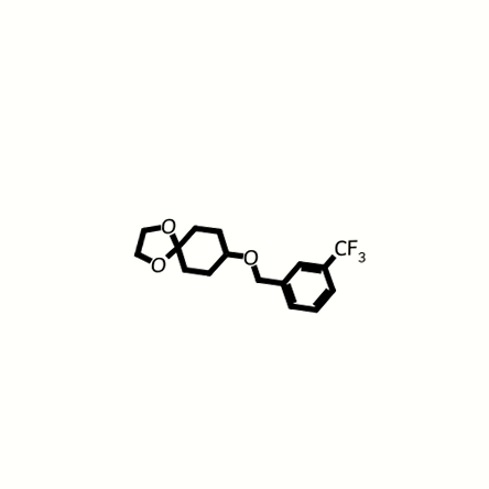 FC(F)(F)c1cccc(COC2CCC3(CC2)OCCO3)c1